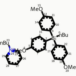 CCCC[B-](c1ccc(OC)cc1)(c1ccc(OC)cc1)c1ccc(OC)cc1.CCCC[n+]1ccccc1